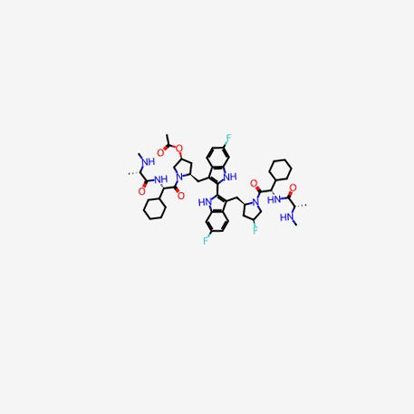 CN[C@@H](C)C(=O)N[C@H](C(=O)N1C[C@@H](F)C[C@H]1Cc1c(-c2[nH]c3cc(F)ccc3c2C[C@@H]2C[C@H](OC(C)=O)CN2C(=O)[C@@H](NC(=O)[C@H](C)NC)C2CCCCC2)[nH]c2cc(F)ccc12)C1CCCCC1